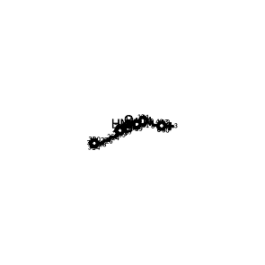 CC(C)(C)c1ccc(CCN2CCc3cc(S(=O)(=O)Nc4ccc(CCCCCc5ccccc5)cc4F)ccc3C2)cc1